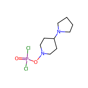 O=P(Cl)(Cl)ON1CCC(N2CCCC2)CC1